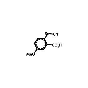 COc1ccc([Se]C#N)c(C(=O)O)c1